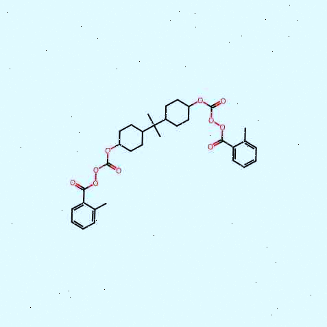 Cc1ccccc1C(=O)OOC(=O)OC1CCC(C(C)(C)C2CCC(OC(=O)OOC(=O)c3ccccc3C)CC2)CC1